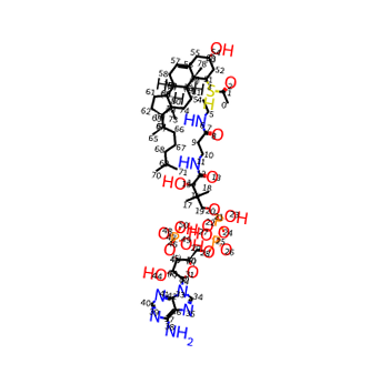 CC(=O)[SH](CCNC(=O)CCNC(=O)C(O)C(C)(C)COP(=O)(O)OP(=O)(O)OC[C@H]1O[C@@H](n2cnc3c(N)ncnc32)[C@H](O)[C@@H]1OP(=O)(O)O)C1C[C@H](O)CC2=CC[C@H]3[C@@H]4CC[C@H]([C@H](C)CCCC(C)C)[C@@]4(C)CC[C@@H]3[C@]21C